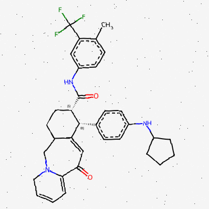 Cc1ccc(NC(=O)[C@H]2CCC3CN4CC=CC=C4C(=O)C=C3[C@H]2c2ccc(NC3CCCC3)cc2)cc1C(F)(F)F